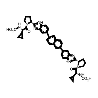 O=C(O)N[C@H](C(=O)N1CCC[C@H]1c1nc2cc(-c3ccc4cc(-c5ccc6[nH]c([C@@H]7CCCN7C(=O)[C@@H](NC(=O)O)C7CC7)nc6c5)ccc4c3)ccc2[nH]1)C1CC1